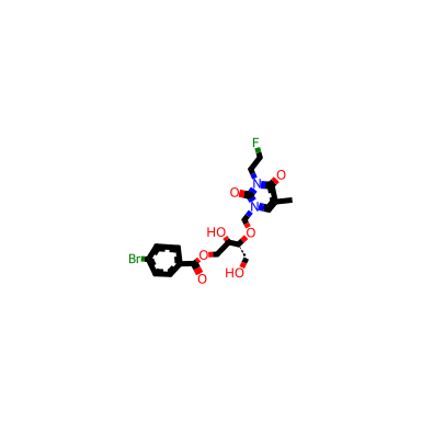 Cc1cn(CO[C@H](CO)C(O)COC(=O)c2ccc(Br)cc2)c(=O)n(CCF)c1=O